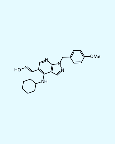 COc1ccc(Cn2ncc3c(NC4CCCCC4)c(/C=N/O)cnc32)cc1